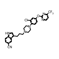 N#Cc1ccc2[nH]cc(CCCN3CCN(c4ccc(Oc5nccc(C(F)(F)F)n5)cc4Cl)CC3)c2c1